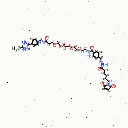 Cc1nnc(-c2ccc(CNC(=O)CCOCCOCCOCCOCCNC(=O)c3ccc(C=NNC(=O)CCCCCN4C(=O)C=CC4=O)cc3)cc2)nn1